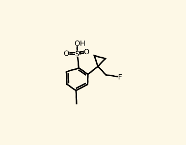 Cc1ccc(S(=O)(=O)O)c(C2(CF)CC2)c1